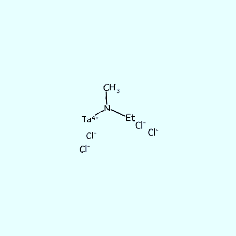 CC[N](C)[Ta+4].[Cl-].[Cl-].[Cl-].[Cl-]